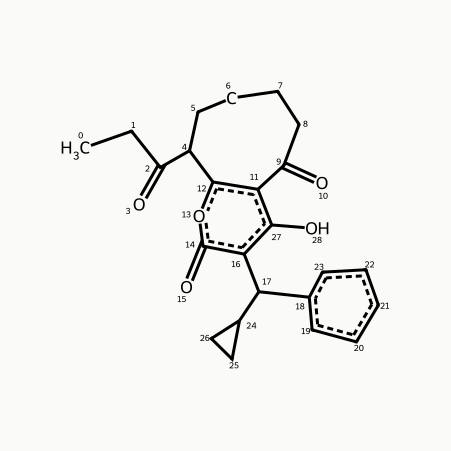 CCC(=O)C1CCCCC(=O)c2c1oc(=O)c(C(c1ccccc1)C1CC1)c2O